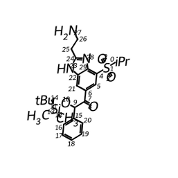 CC(C)S(=O)(=O)c1cc(C(=O)C(O[Si](C)(C)C(C)(C)C)c2ccccc2)cc2[nH]c(CCN)nc12